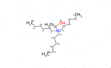 CCCCCC[N+](CCCCCC)(CCCCCC)C(C)O